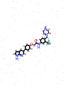 CN1CCN(Cc2ccc(NC(=O)COc3ccc(-c4cnc5[nH]ccc5c4)cc3)cc2C(F)(F)F)CC1